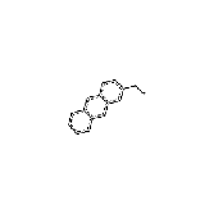 FCc1ccc2cc3ccccc3cc2c1